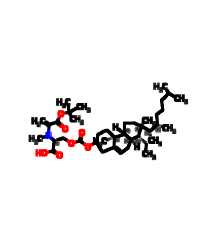 C=C(C(=O)OC(C)(C)C)N(C)[C@@H](COC(=O)OC1CC[C@]2(C)C(=CC[C@@H]3[C@@H](CC)[C@](C)([C@@H](C)[C@@H](C)CCCC(C)C)CC[C@H]32)C1)C(=O)O